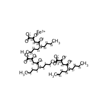 CCCCN(CCCC)C(=O)CC(=O)C(=O)[O-].CCCCN(CCCC)C(=O)CC(=O)C(=O)[O-].CCCCN(CCCC)C(=O)CC(=O)C(=O)[O-].[Fe+3]